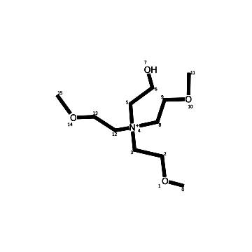 COCC[N+](CCO)(CCOC)CCOC